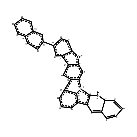 C1=CC2=Cc3c(n4c5cc6oc7ccc(-c8ccc9ccccc9c8)cc7c6cc5c5cccc3c54)NC2C=C1